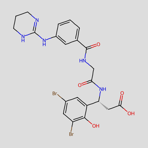 O=C(O)C[C@@H](NC(=O)CNC(=O)c1cccc(NC2=NCCCN2)c1)c1cc(Br)cc(Br)c1O